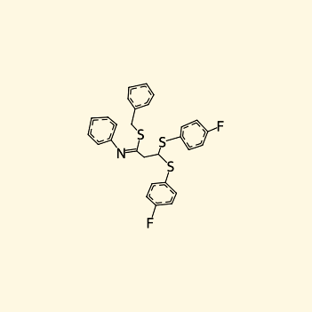 Fc1ccc(SC(CC(=Nc2ccccc2)SCc2ccccc2)Sc2ccc(F)cc2)cc1